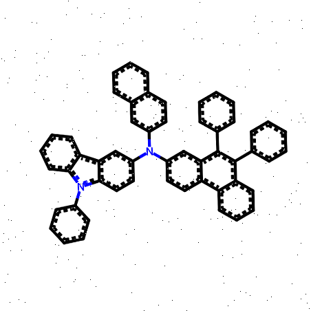 c1ccc(-c2c(-c3ccccc3)c3cc(N(c4ccc5ccccc5c4)c4ccc5c(c4)c4ccccc4n5-c4ccccc4)ccc3c3ccccc23)cc1